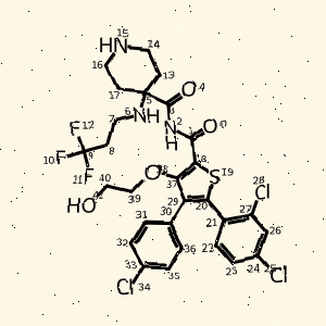 O=C(NC(=O)C1(NCCC(F)(F)F)CCNCC1)c1sc(-c2ccc(Cl)cc2Cl)c(-c2ccc(Cl)cc2)c1OCCO